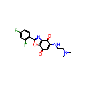 CN(C)CCNC1=CC(=O)c2oc(-c3ccc(F)cc3F)nc2C1=O